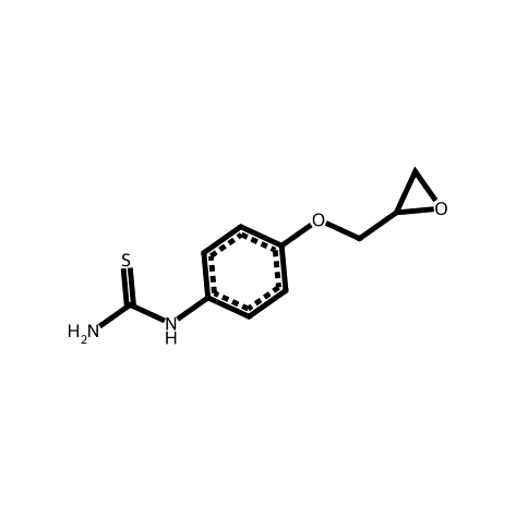 NC(=S)Nc1ccc(OCC2CO2)cc1